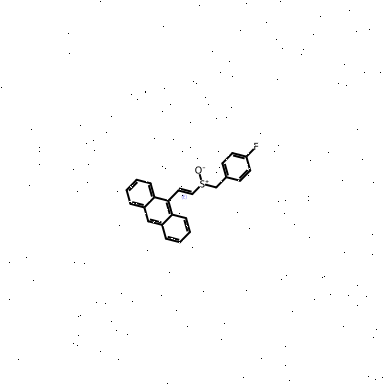 [O-][S+](/C=C/c1c2ccccc2cc2ccccc12)Cc1ccc(F)cc1